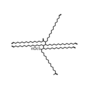 C=CCCCCCCCCCCCCCC(=C)C(CCCCCCCCCCCCCC=C)C(CCCCCCCCCCCCCC=C)C(CCCCCCCCCCCCCC=C)C(CCCCCCCCCCCCCC=C)C(CCCCCCCC)CCCCCCCCCCCCC(=C)C